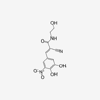 N#C/C(=C\c1cc(O)c(O)c([N+](=O)[O-])c1)C(=O)NCCO